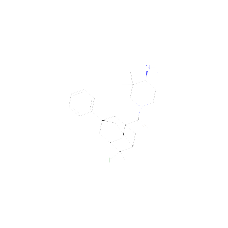 CC1(Cl)C2CC3(C(=S)N4CC[C@H](N)C(C)(C)C4)CC1CC(c1ccccc1)(C2)C3